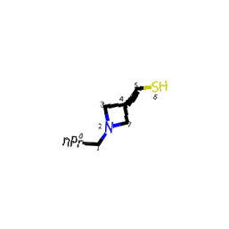 CCCCN1CC(=CS)C1